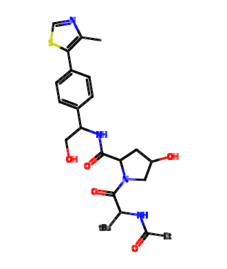 CCC(=O)NC(C(=O)N1CC(O)CC1C(=O)NC(CO)c1ccc(-c2scnc2C)cc1)C(C)(C)C